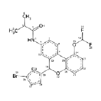 CC(C)C(=O)Nc1ccc2c(c1)C(c1ccc(Br)s1)Oc1cccc(OC(F)F)c1-2